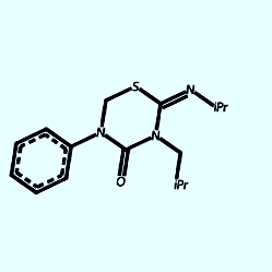 CC(C)CN1C(=O)N(c2ccccc2)CSC1=NC(C)C